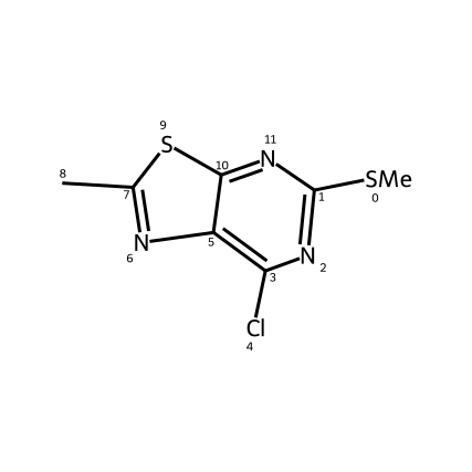 CSc1nc(Cl)c2nc(C)sc2n1